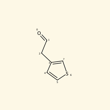 O=[C]Cc1ccsc1